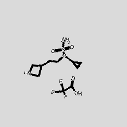 NS(=O)(=O)N(CCC1CNC1)C1CC1.O=C(O)C(F)(F)F